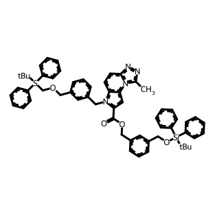 Cc1nnc2ccc3c(cc(C(=O)OCc4cccc(CO[Si](c5ccccc5)(c5ccccc5)C(C)(C)C)c4)n3Cc3cccc(COCS(c4ccccc4)(c4ccccc4)C(C)(C)C)c3)n12